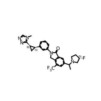 CC(c1cc2c(c(C(F)(F)F)c1)CN(c1cccc([C@H]3C[C@H]3c3nncn3C)c1)C2=O)N1CC[C@H](F)C1